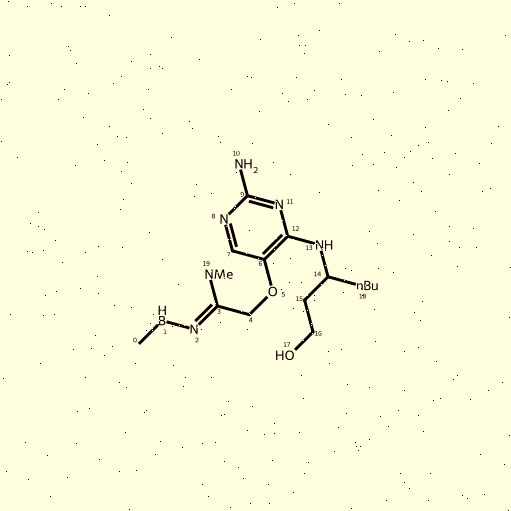 CB/N=C(/COc1cnc(N)nc1NC(CCO)CCCC)NC